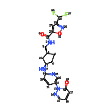 O=C(NC[C@H]1CC[C@@H](Nc2ccc(-n3ncccc3=O)cn2)C1)c1cc(C(F)F)no1